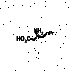 CCCCN(N)CC(=O)O